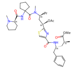 COC(=O)[C@@H](C)C[C@H](Cc1ccccc1)NC(=O)c1csc([C@@H](C[C@H](C(C)C)N(C)C(=O)C2(NC(=O)[C@H]3CCCCN3C)CCCC2)OC(C)=O)n1